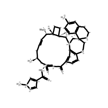 CO[C@H]1/C=C/C[C@H](C)C[S@@](=O)(NC(=O)c2cnn(C)c2)=NC(=O)c2ccc3c(c2)N(C[C@@H]2CC[C@H]21)C[C@]1(CO3)SCCc2cc(C)ccc21